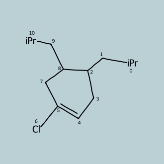 CC(C)CC1CC=C(Cl)CC1CC(C)C